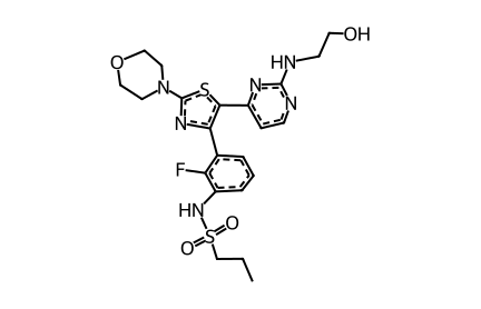 CCCS(=O)(=O)Nc1cccc(-c2nc(N3CCOCC3)sc2-c2ccnc(NCCO)n2)c1F